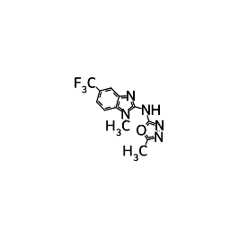 Cc1nnc(Nc2nc3cc(C(F)(F)F)ccc3n2C)o1